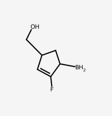 BC1CC(CO)C=C1F